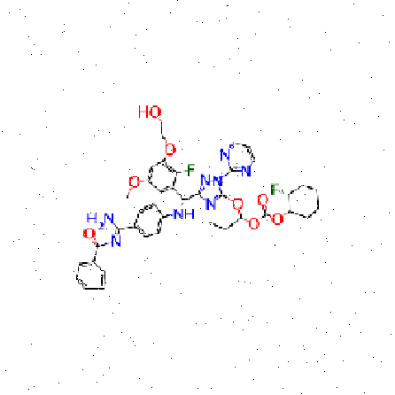 CCC(OC(=O)OC1CCCC[C@H]1F)Oc1nc([C@H](Nc2ccc(/C(N)=N/C(=O)c3ccccc3)cc2)c2cc(OC)cc(OCCO)c2F)nn1-c1ncccn1